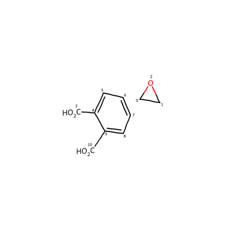 C1CO1.O=C(O)c1ccccc1C(=O)O